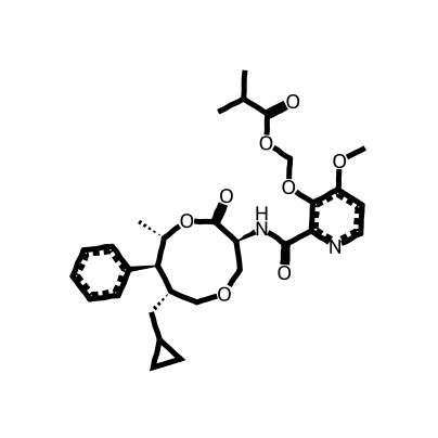 COc1ccnc(C(=O)N[C@H]2COC[C@H](CC3CC3)[C@@H](c3ccccc3)[C@H](C)OC2=O)c1OCOC(=O)C(C)C